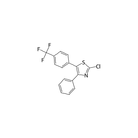 FC(F)(F)c1ccc(-c2sc(Cl)nc2-c2ccccc2)cc1